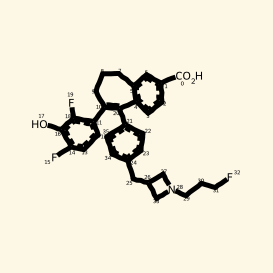 O=C(O)c1ccc2c(c1)CCCC(c1ccc(F)c(O)c1F)=C2c1ccc(CC2CN(CCCF)C2)cc1